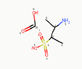 CC(N)C(C)S(=O)(=O)O.O=CO